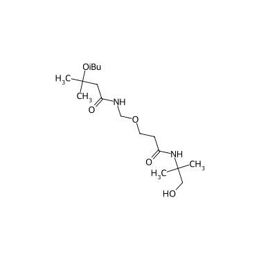 CC(C)COC(C)(C)CC(=O)NCOCCC(=O)NC(C)(C)CO